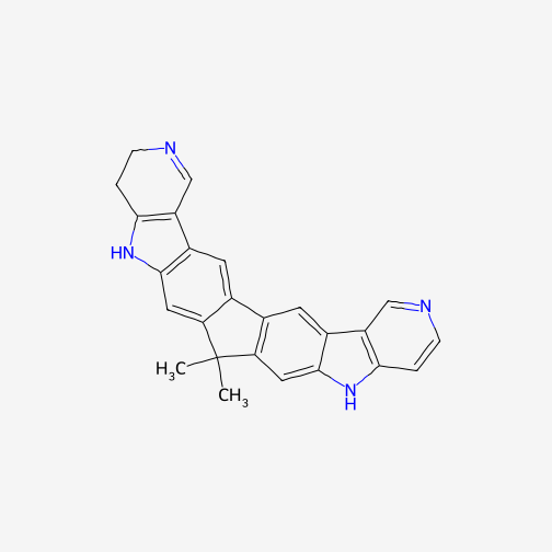 CC1(C)c2cc3[nH]c4c(c3cc2-c2cc3c(cc21)[nH]c1ccncc13)C=NCC4